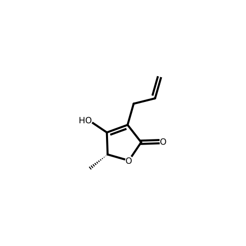 C=CCC1=C(O)[C@@H](C)OC1=O